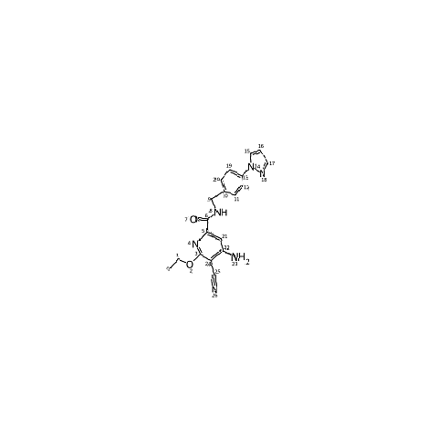 CCOc1nc(C(=O)NCc2ccc(-n3cccn3)cc2)cc(N)c1C#N